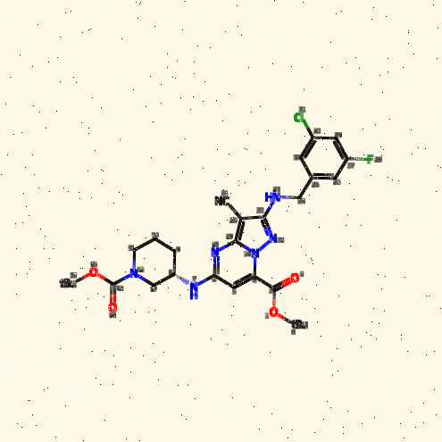 CC(C)(C)OC(=O)c1cc(N[C@H]2CCCN(C(=O)OC(C)(C)C)C2)nc2c(C#N)c(NCc3cc(F)cc(Cl)c3)nn12